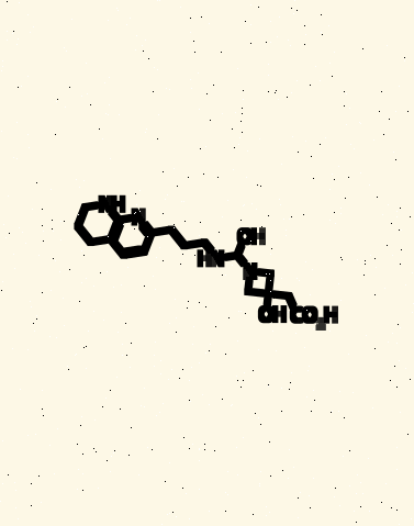 O=C(O)CC1(O)CN(C(O)NCCCc2ccc3c(n2)NCCC3)C1